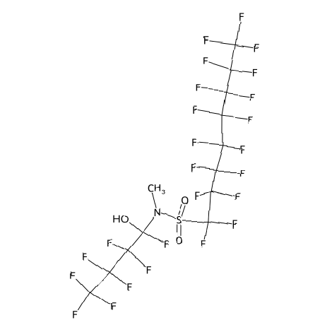 CN(C(O)(F)C(F)(F)C(F)(F)C(F)(F)F)S(=O)(=O)C(F)(F)C(F)(F)C(F)(F)C(F)(F)C(F)(F)C(F)(F)C(F)(F)C(F)(F)F